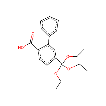 CCO[Si](OCC)(OCC)c1ccc(C(=O)O)c(-c2ccccc2)c1